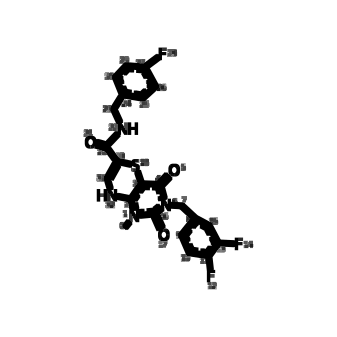 Cn1c2c(c(=O)n(Cc3ccc(F)c(F)c3)c1=O)SC(C(=O)NCc1ccc(F)cc1)=CN2